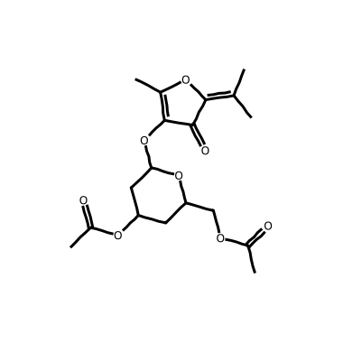 CC(=O)OCC1CC(OC(C)=O)CC(OC2=C(C)OC(=C(C)C)C2=O)O1